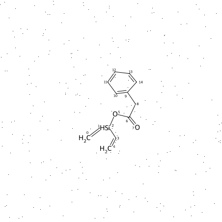 C=C[SiH](C=C)OC(=O)Cc1ccccc1